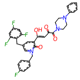 O=C(C=C(O)c1cc(Cc2c(F)cc(F)cc2F)cn(Cc2ccc(F)cc2)c1=O)C(=O)N1CCN(c2ccccc2)CC1